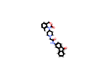 Cc1cccc2c1N(C1CCN(CC(=O)Nc3ccc4c(c3)-c3ccccc3C4=O)CC1)C(=O)OC2